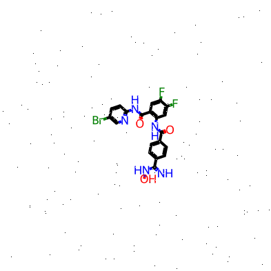 N=C(NO)c1ccc(C(=O)Nc2cc(F)c(F)cc2C(=O)Nc2ccc(Br)cn2)cc1